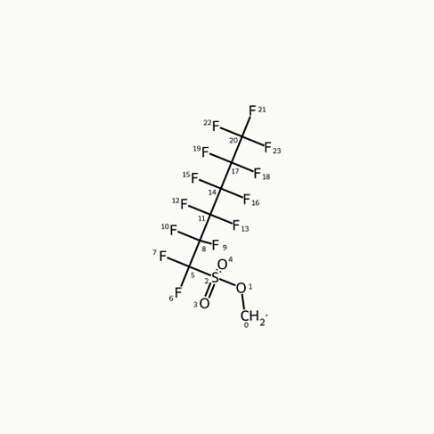 [CH2]OS(=O)(=O)C(F)(F)C(F)(F)C(F)(F)C(F)(F)C(F)(F)C(F)(F)F